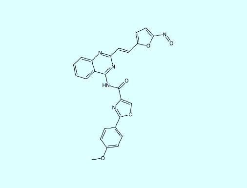 COc1ccc(-c2nc(C(=O)Nc3nc(/C=C/c4ccc(N=O)o4)nc4ccccc34)co2)cc1